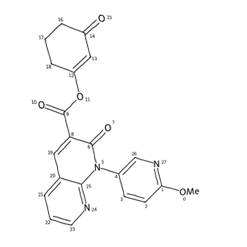 COc1ccc(-n2c(=O)c(C(=O)OC3=CC(=O)CCC3)cc3cccnc32)cn1